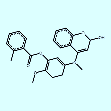 COC1=C(OC(=O)c2ccccc2C)C=C(N(C)C2=CC(O)Oc3ccccc32)CC1